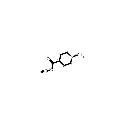 CCCCOC(=O)C1CCN(C)CC1